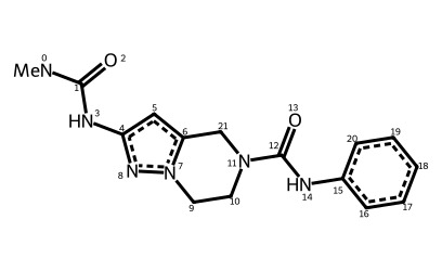 CNC(=O)Nc1cc2n(n1)CCN(C(=O)Nc1ccccc1)C2